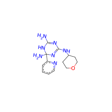 NC1=NC(NC2CCOCC2)=NC(N)(c2ccccn2)N1